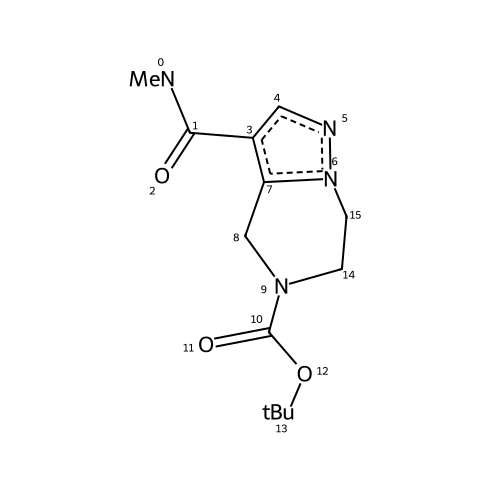 CNC(=O)c1cnn2c1CN(C(=O)OC(C)(C)C)CC2